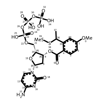 COc1ccc(C(=O)O[C@@H]2C[C@H](n3ccc(N)nc3=O)O[C@@H]2COP(=O)(O)OP(=O)(O)OP(=O)(O)O)c(C(C)SSC)c1